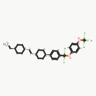 CC[C@H]1CC[C@H](CC[C@H]2CC[C@H](c3ccc(C(F)(F)Oc4ccc(OC(F)(F)F)cc4)cc3)CC2)CC1